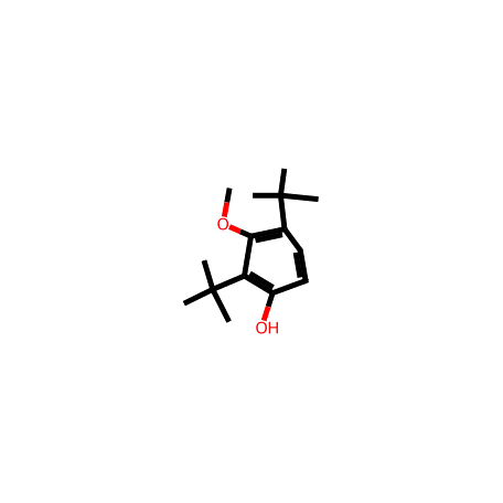 COc1c(C(C)(C)C)ccc(O)c1C(C)(C)C